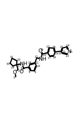 COCC1(NC(=O)c2cccc(CNC(=O)c3ccc(-c4ccncc4)cc3)c2)CCCC1